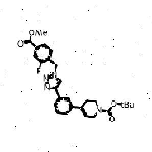 COC(=O)c1ccc(Cn2cc(-c3cccc(C4=CCN(C(=O)OC(C)(C)C)CC4)c3)nn2)c(F)c1